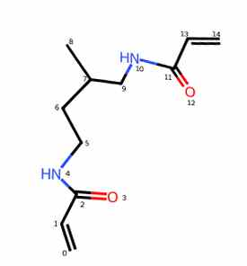 C=CC(=O)NCCC(C)CNC(=O)C=C